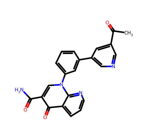 CC(=O)c1cncc(-c2cccc(-n3cc(C(N)=O)c(=O)c4cccnc43)c2)c1